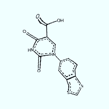 O=C(O)c1cn(-c2ccc3ncsc3c2)c(=O)[nH]c1=O